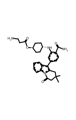 CC1(C)CC(=O)n2c(c(-c3ccc(C(N)=O)c(N[C@H]4CC[C@H](OC(=O)CCN)CC4)c3)c3ccccc32)C1